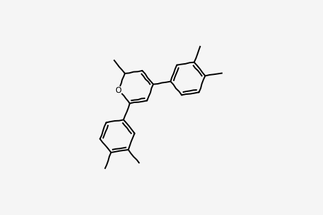 Cc1ccc(C2=CC(C)OC(c3ccc(C)c(C)c3)=C2)cc1C